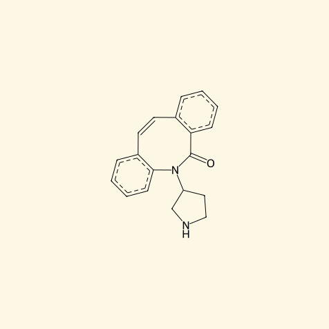 O=C1c2ccccc2C=Cc2ccccc2N1C1CCNC1